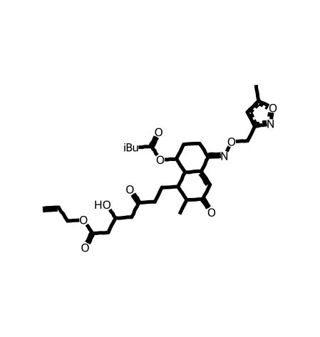 C=CCOC(=O)CC(O)CC(=O)CCC1C(C)C(=O)C=C2C(=NOCc3cc(C)on3)CCC(OC(=O)C(C)CC)C21